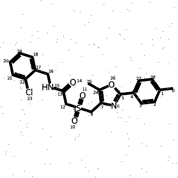 Cc1ccc(-c2nc(CS(=O)(=O)CC(=O)NCc3ccccc3Cl)c(C)o2)cc1